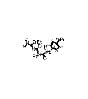 CCOC(=NC(=O)N(C)C)N(CC)C(=O)NSc1ccc(C(C)C)cc1